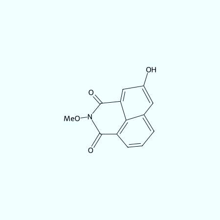 CON1C(=O)c2cccc3cc(O)cc(c23)C1=O